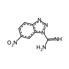 N=C(N)n1nnc2ccc([N+](=O)[O-])cc21